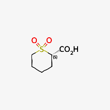 O=C(O)[C@@H]1CCCCS1(=O)=O